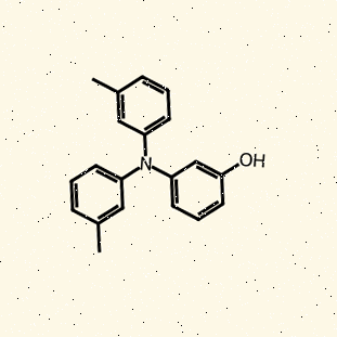 Cc1cccc(N(c2cccc(C)c2)c2cccc(O)c2)c1